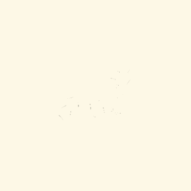 COC(=O)[C@H](C)NP(=O)(OC[C@H]1O[C@@H](n2ccc(=O)[nH]c2=O)[C@](C)(F)[C@@H]1O)Oc1cccc2ccccc12